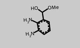 COC(O)c1cccc(N)c1N